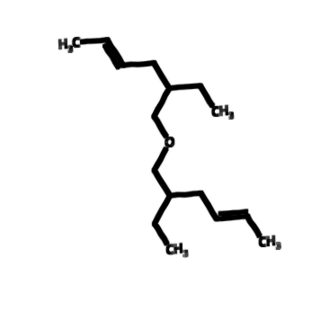 CC=CCC(CC)COCC(CC)CC=CC